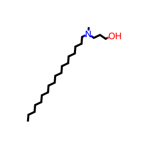 CCCCCCCCCCCCCCCCCCN(C)CCCO